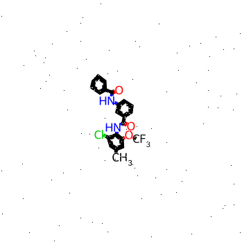 Cc1cc(Cl)c(NC(=O)c2cccc(NC(=O)c3ccccc3)c2)c(OC(F)(F)F)c1